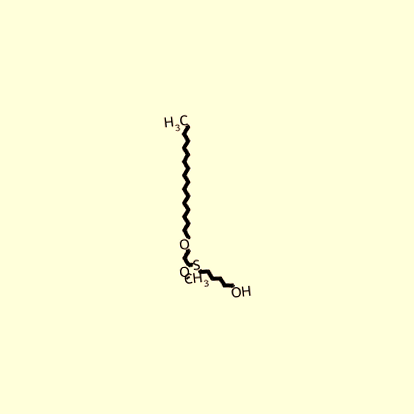 CCCCCCCCCCCCCCCCCCOCCC(OC)SCCCCCCO